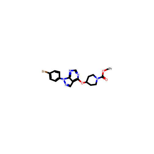 CC(C)OC(=O)N1CCC(Oc2ncnc3c2cnn3-c2ccc(Br)cc2)CC1